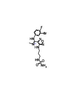 C/N=C(\Nc1ccc(F)c(Br)c1)c1nonc1NCCCNS(N)(=O)=O